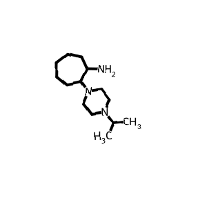 CC(C)N1CCN(C2CCCCCC2N)CC1